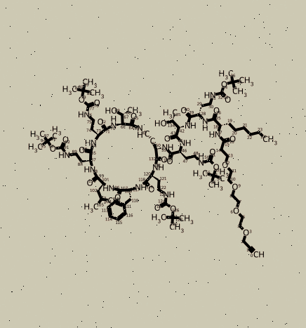 C#CCOCCOCCOCCOCCC(=O)N[C@@H](CCCCCC)C(=O)N[C@@H](CCNC(=O)OC(C)(C)C)C(=O)N[C@H](C(=O)N[C@@H](CCNC(=O)OC(C)(C)C)C(=O)N[C@H]1CCNC(=O)[C@H]([C@@H](C)O)NC(=O)[C@H](CCNC(=O)OC(C)(C)C)NC(=O)[C@H](CCNC(=O)OC(C)(C)C)NC(=O)[C@H](CC(C)C)NC(=O)[C@@H](Cc2ccccc2)NC(=O)[C@H](CCNC(=O)OC(C)(C)C)NC1=O)[C@@H](C)O